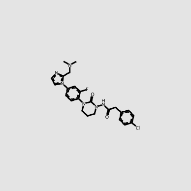 CN(C)Cc1nccn1-c1ccc(N2CCCN(NC(=O)Cc3ccc(Cl)cc3)C2=O)c(F)c1